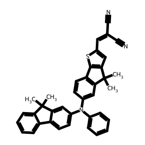 CC1(C)c2ccccc2-c2ccc(N(c3ccccc3)c3ccc4c(c3)C(C)(C)c3cc(C=C(C#N)C#N)sc3-4)cc21